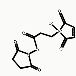 O=C(CC[N+]1([O-])C(=O)C=CC1=O)ON1C(=O)CCC1=O